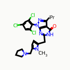 CC(C)c1nn(-c2c(Cl)cc(Cl)cc2Cl)c2nc(Cc3ccc(CN4CCCC4)n3C)[nH]c(=O)c12